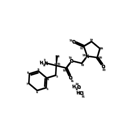 C[C@](N)(CC1=CCCC=C1)C(=O)OCN1C(=O)CCC1=O.Cl.O